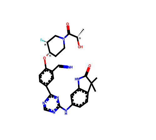 C[C@H](O)C(=O)N1CC[C@H](Oc2ccc(-c3ncnc(Nc4ccc5c(c4)NC(=O)C5(C)C)n3)cc2C=N)[C@H](F)C1